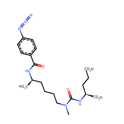 CN(CCCC[C@H](NC(=O)c1ccc(N=[N+]=[N-])cc1)C(=O)O)C(=O)N[C@@H](CCC(=O)O)C(=O)O